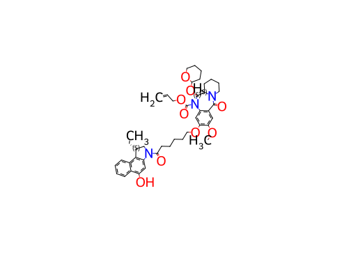 C=CCOC(=O)N1c2cc(OCCCCCC(=O)N3C[C@@H](CC)c4c3cc(O)c3ccccc43)c(OC)cc2C(=O)N2CCCC[C@H]2[C@@H]1OC1CCCCO1